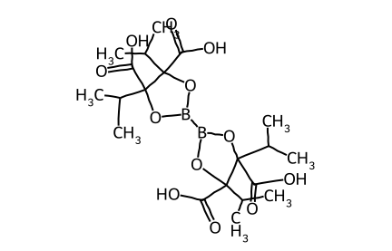 CC(C)C1(C(=O)O)OB(B2OC(C(=O)O)(C(C)C)C(C(=O)O)(C(C)C)O2)OC1(C(=O)O)C(C)C